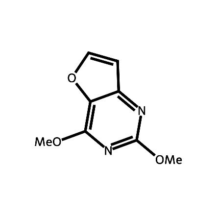 COc1nc(OC)c2occc2n1